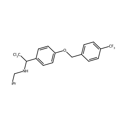 CC(C)CNC(c1ccc(OCc2ccc(C(F)(F)F)cc2)cc1)C(Cl)(Cl)Cl